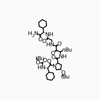 CCCCC(NC(=O)C1C[C@@H](OC(C)(C)C)CN1C(=O)[C@@H](NC(=O)OC(C)(C)C)C1CCCCC1)C(=O)C(=O)NCC(=O)N[C@H](C(N)=O)C1CCCCC1